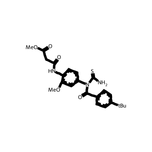 COC(=O)CC(=O)Nc1ccc(N(C(=O)c2ccc(C(C)(C)C)cc2)C(N)=S)cc1OC